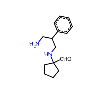 NCC(CNC1(C=O)CCCC1)c1ccccc1